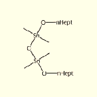 CCCCCCC[O][Sn]([CH3])([CH3])[O][Sn]([CH3])([CH3])[O]CCCCCCC